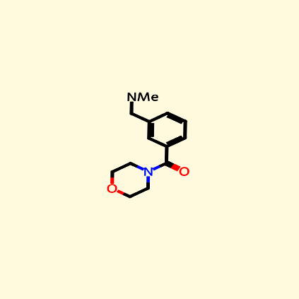 CNCc1cccc(C(=O)N2CCOCC2)c1